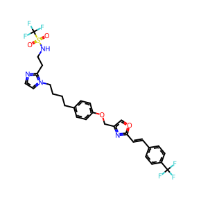 O=S(=O)(NCCc1nccn1CCCCc1ccc(OCc2coc(/C=C/c3ccc(C(F)(F)F)cc3)n2)cc1)C(F)(F)F